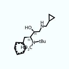 CC(C)(C)N(C(=O)O)[C@@H](Cc1ccccc1)[C@@H](O)CNCC1CC1